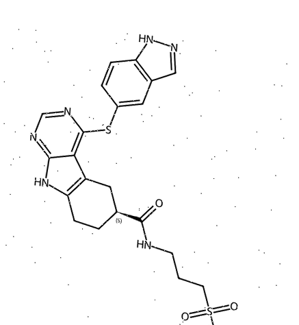 CS(=O)(=O)CCCNC(=O)[C@H]1CCc2[nH]c3ncnc(Sc4ccc5[nH]ncc5c4)c3c2C1